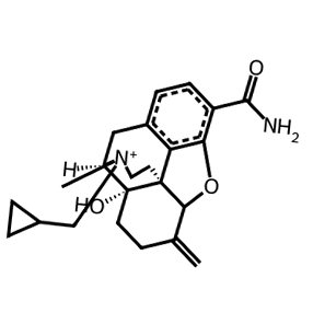 C=C1CC[C@@]2(O)[C@H]3Cc4ccc(C(N)=O)c5c4[C@@]2(CC[N+]3(C)CC2CC2)C1O5